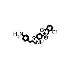 Nc1ccc(C=C2CNc3cc(S(=O)(=O)Cc4c(Cl)cccc4Cl)ccc3S2)cc1